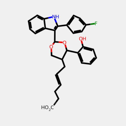 O=C(O)CCC=CCC1COC(c2c(-c3ccc(F)cc3)[nH]c3ccccc23)OC1c1ccccc1O